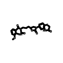 COc1cccc2c(=O)n(CCCC3CN(c4ccc5c(c4)NC(=O)CS5)C(=O)O3)c(=O)[nH]c12